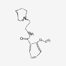 COc1ccccc1C(=O)NCCN1CCCC1